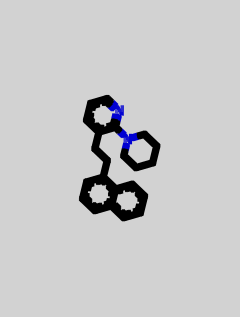 c1cnc(N2CCCCC2)c(CCc2cccc3ccccc23)c1